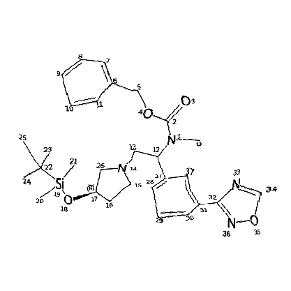 CN(C(=O)OCc1ccccc1)C(CN1CC[C@@H](O[Si](C)(C)C(C)(C)C)C1)c1cccc(-c2ncon2)c1